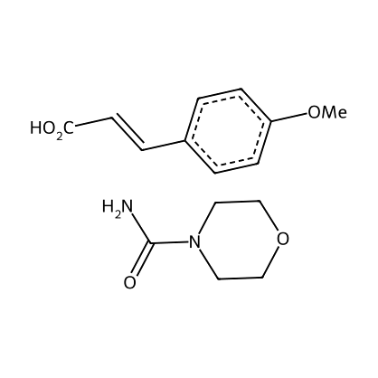 COc1ccc(/C=C/C(=O)O)cc1.NC(=O)N1CCOCC1